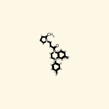 CC1CCCN1CCC(=O)N1CCN(c2ccc(F)cc2)c2cc(F)ccc21